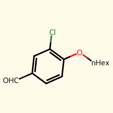 CCCCCCOc1ccc(C=O)cc1Cl